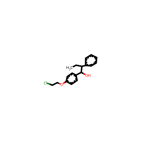 CCC(c1ccccc1)C(O)c1ccc(OCCCl)cc1